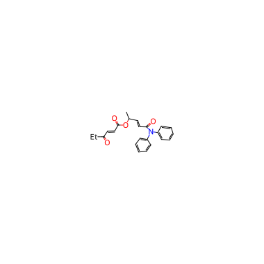 CCC(=O)C=CC(=O)OC(C)C=CC(=O)N(c1ccccc1)c1ccccc1